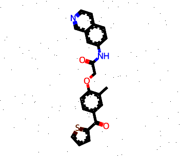 Cc1cc(C(=O)c2cccs2)ccc1OCC(=O)Nc1ccc2ccncc2c1